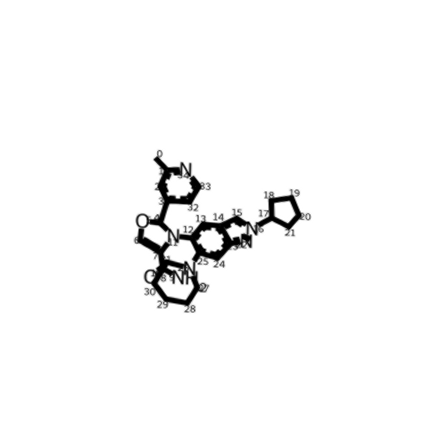 Cc1cc(C2OC=C(C(N)=O)N2c2cc3cn(C4CCCC4)nc3cc2N2CCCCC2)ccn1